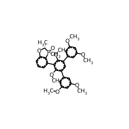 COc1cc(OC)cc(-c2cc(-c3cc(OC)cc(OC)c3)c(OC)c(-c3cccc4c3P(C)(=O)[C@@H](C)O4)c2OC)c1